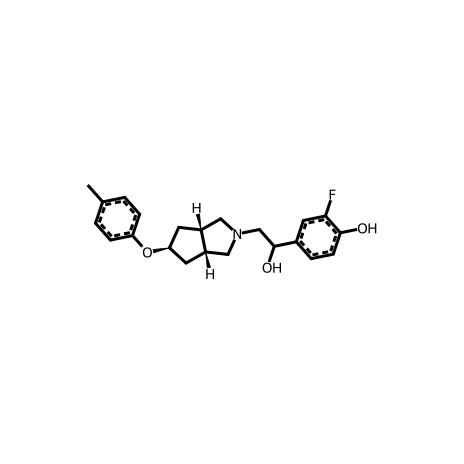 Cc1ccc(O[C@H]2C[C@@H]3CN(CC(O)c4ccc(O)c(F)c4)C[C@@H]3C2)cc1